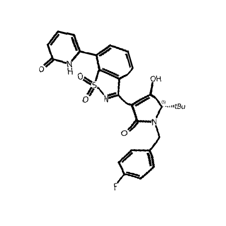 CC(C)(C)[C@H]1C(O)=C(C2=NS(=O)(=O)c3c2cccc3-c2cccc(=O)[nH]2)C(=O)N1Cc1ccc(F)cc1